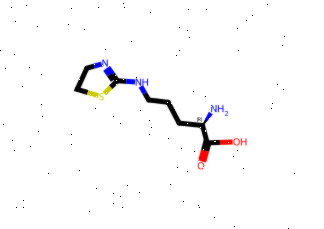 N[C@H](CCCNC1=NCCS1)C(=O)O